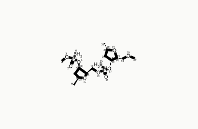 BP(=O)(OC)O[C@@H]1C[C@H](C)O[C@@H]1COP(B)(=O)O[C@@H]1C[C@H](C)O[C@@H]1COC